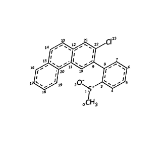 C[S+]([O-])c1ccccc1-c1cc2c(ccc3ccccc32)cc1Cl